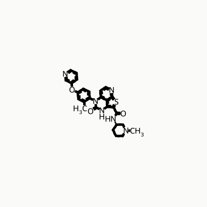 Cc1cc(Oc2cccnc2)ccc1N1C(=O)Nc2c(C(=O)N[C@@H]3CCCN(C)C3)sc3nccc1c23